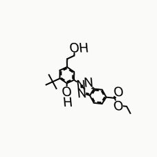 CCOC(=O)c1ccc2nn(-c3cc(CCO)cc(C(C)(C)C)c3O)nc2c1